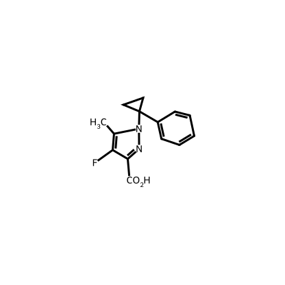 Cc1c(F)c(C(=O)O)nn1C1(c2ccccc2)CC1